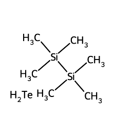 C[Si](C)(C)[Si](C)(C)C.[TeH2]